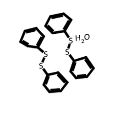 O.c1ccc(SSc2ccccc2)cc1.c1ccc(SSc2ccccc2)cc1